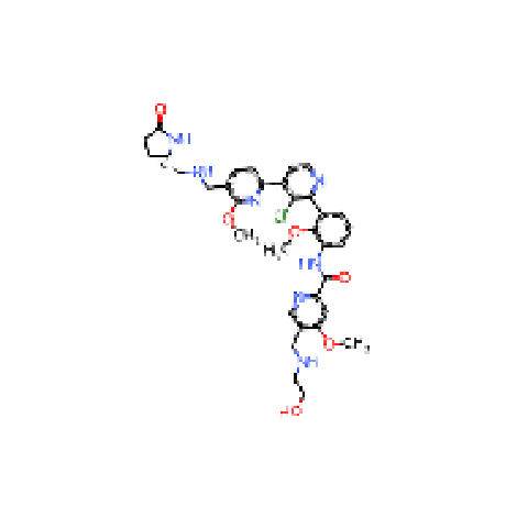 COc1cc(C(=O)Nc2cccc(-c3nccc(-c4ccc(CNC[C@@H]5CCC(=O)N5)c(OC)n4)c3Cl)c2OC)ncc1CNCCO